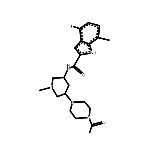 CC(=O)N1CCN(C2CC(NC(=O)c3cc4c(F)ccc(C)c4[nH]3)CN(C)C2)CC1